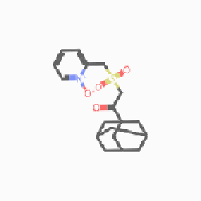 O=C(CS(=O)(=O)Cc1cccc[n+]1[O-])C12CC3CC(CC(C3)C1)C2